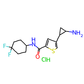 Cl.NC1CC1c1csc(C(=O)NC2CCC(F)(F)CC2)c1